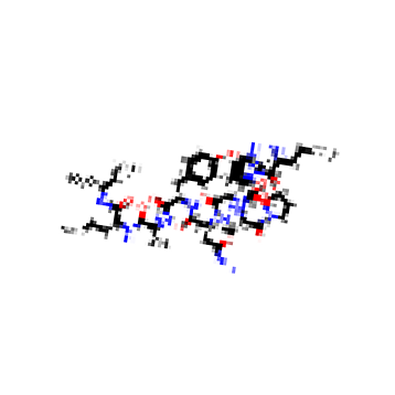 CSCC[C@H](NC(=O)[C@H](C)NC(=O)[C@H](Cc1ccc(O)cc1)NC(=O)[C@H](CC(N)=O)NC(=O)[C@H](Cc1c[nH]cn1)NC(=O)[C@@H]1CCCN1C(=O)[C@H](CC(C)C)NC(=O)[C@@H]1CCCN1C(=O)[C@@H](N)CCC(=O)O)C(=O)N[C@@H](CC(=O)O)C(=O)O